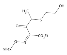 CCCCCCON=C(C(=O)OCC)C(=O)C(C)SCCO